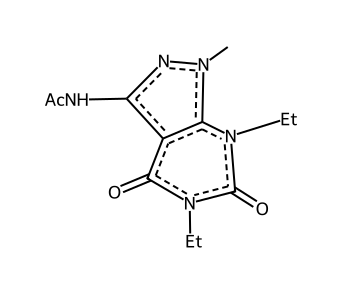 CCn1c(=O)c2c(NC(C)=O)nn(C)c2n(CC)c1=O